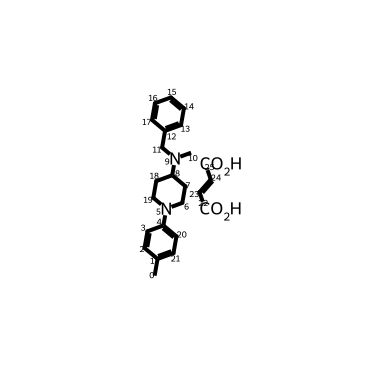 Cc1ccc(N2CCC(N(C)Cc3ccccc3)CC2)cc1.O=C(O)C=CC(=O)O